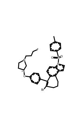 Cc1ccc(S(=O)(=O)n2ccc3c4c(ccc32)C(c2ccc(O[C@H]3CCN(CCCF)C3)cc2)=C(Br)CCC4)cc1